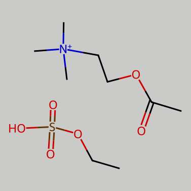 CC(=O)OCC[N+](C)(C)C.CCOS(=O)(=O)O